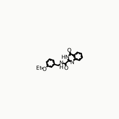 CCOc1cccc(CNC(=O)c2nc3ccccc3c(=O)[nH]2)c1